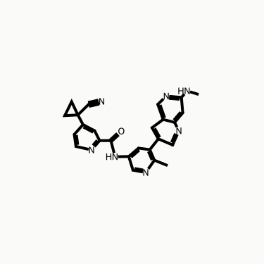 CNc1cc2ncc(-c3cc(NC(=O)c4cc(C5(C#N)CC5)ccn4)cnc3C)cc2cn1